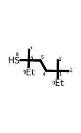 CCC(C)(C)CCC(C)(S)CC